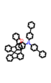 c1ccc(-c2ccc(N(c3ccc(-c4ccccc4)cc3)c3cccc(-c4cccc5c4C4(c6ccccc6-5)c5ccccc5-c5c4ccc4oc6ccccc6c54)c3)cc2)cc1